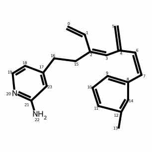 C=C/C(=C\C(=C)/C=C\c1cccc(C)c1)CCc1ccnc(N)c1